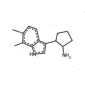 Cc1ccc2c(C3CCCC3N)c[nH]c2c1C